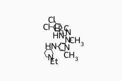 CCN1CCCC(Nc2cc(C)nc(N(C)/C(=N/C)Nc3ccc(Cl)c(Cl)c3)c2)C1